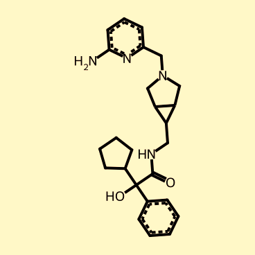 Nc1cccc(CN2CC3C(CNC(=O)C(O)(c4ccccc4)C4CCCC4)C3C2)n1